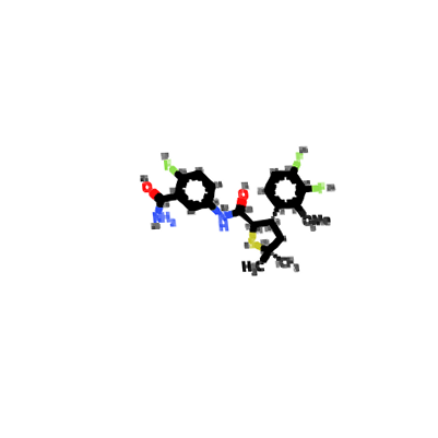 COc1c([C@@H]2C[C@](C)(C(F)(F)F)S[C@H]2C(=O)Nc2ccc(F)c(C(N)=O)c2)ccc(F)c1F